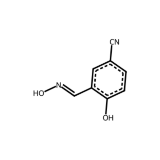 N#Cc1ccc(O)c(/C=N/O)c1